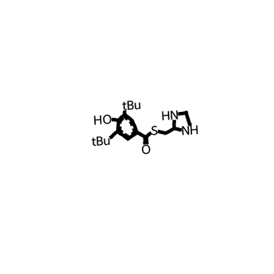 CC(C)(C)c1cc(C(=O)SCC2NCCN2)cc(C(C)(C)C)c1O